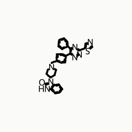 O=c1[nH]c2ccccc2n1C1CCN(Cc2ccc(-c3nnc(-c4cncs4)nc3-c3ccccc3)cc2)CC1